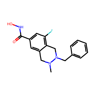 CN1Cc2cc(C(=O)NO)cc(F)c2CN1Cc1ccccc1